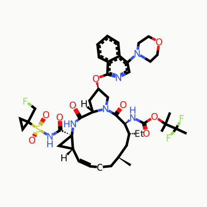 CC[C@@H]1C[C@@H](C)CC/C=C\[C@@H]2C[C@@]2(C(=O)NS(=O)(=O)C2(CF)CC2)NC(=O)[C@@H]2C[C@@H](Oc3ncc(N4CCOCC4)c4ccccc34)CN2C(=O)[C@H]1NC(=O)OC(C)(C)C(C)(F)F